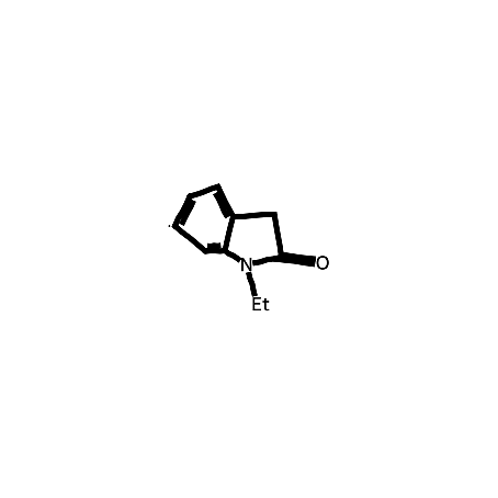 CCN1C(=O)Cc2cc[c]cc21